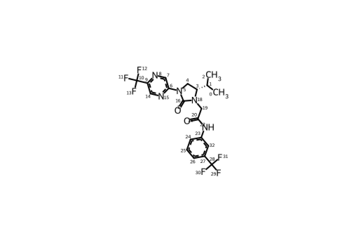 CC(C)[C@H]1CN(c2cnc(C(F)(F)F)cn2)C(=O)N1CC(=O)Nc1cccc(C(F)(F)F)c1